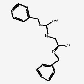 OC(CNC(O)OCc1ccccc1)OCc1ccccc1